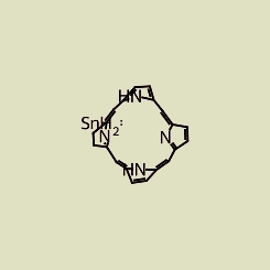 C1=Cc2cc3ccc(cc4nc(cc5ccc(cc1n2)[nH]5)CC4)[nH]3.[SnH2]